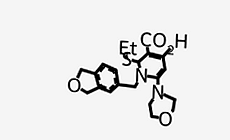 CCSC1C(C(=O)O)=C(C)C=C(N2CCOCC2)N1Cc1ccc2c(c1)COC2